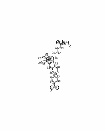 COC(=O)c1ccc(-c2ccc3cc(OCCCCCC(N)=O)c(C45CC6CC(CC(C6)C4)C5)cc3c2)cc1